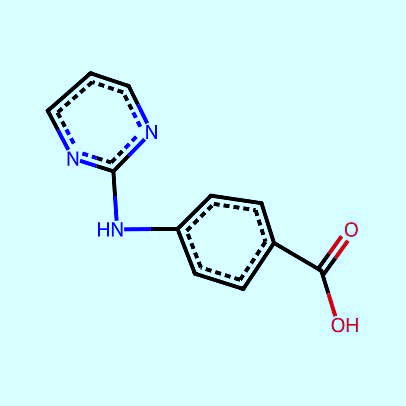 O=C(O)c1ccc(Nc2ncccn2)cc1